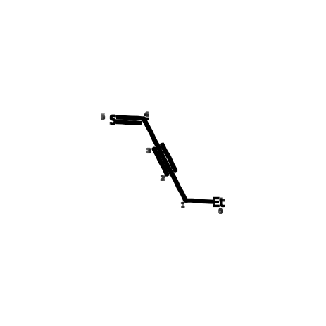 CCCC#C[C]=S